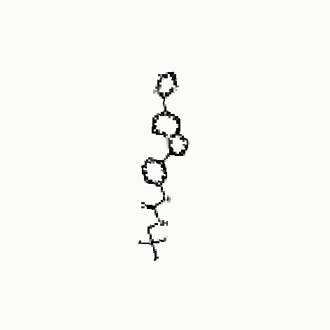 O=C(NCC(F)(F)F)Nc1cccc(-c2cnc3cc(-c4nnco4)ccn23)c1